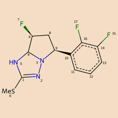 CSC1=NN2C(N1)[C@@H](F)C[C@H]2c1cccc(F)c1F